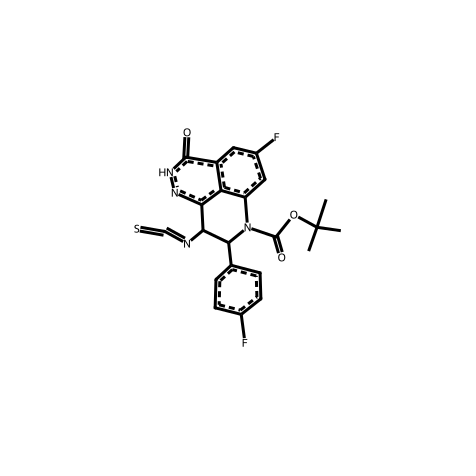 CC(C)(C)OC(=O)N1c2cc(F)cc3c(=O)[nH]nc(c23)C(N=C=S)C1c1ccc(F)cc1